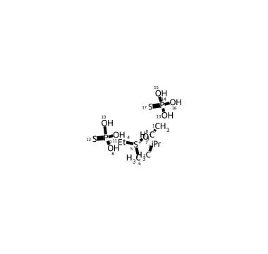 CC.CC(C)C.CC[S+](C)[O-].OP(O)(O)=S.OP(O)(O)=S